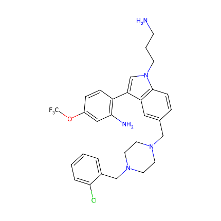 NCCCn1cc(-c2ccc(OC(F)(F)F)cc2N)c2cc(CN3CCN(Cc4ccccc4Cl)CC3)ccc21